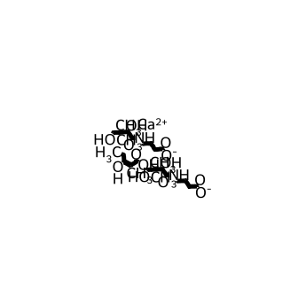 CC(C)(CO)[C@@H](O)C(=O)NCCCC(=O)[O-].CC(C)(CO)[C@@H](O)C(=O)NCCCC(=O)[O-].CC/C(O)=C(/C)C(=O)O.[Ca+2]